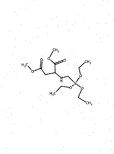 CCO[Si](CNC(CC(=O)OC)C(=O)OC)(OCC)OCC